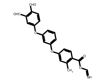 Cc1cc(Oc2cccc(Oc3ccc(C=O)c(C=O)c3)c2)ccc1C(=O)OC=N